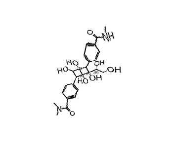 CNC(=O)c1ccc(C2[C@]3(O)C(O)C(c4ccc(C(=O)N(C)C)cc4)[C@]3(O)[C@]2(O)[C@H](O)CO)cc1